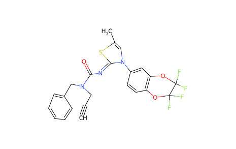 C#CCN(Cc1ccccc1)C(=O)/N=c1\sc(C)cn1-c1ccc2c(c1)OC(F)(F)C(F)(F)O2